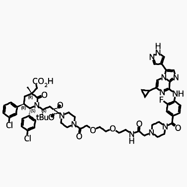 CC(C)(C)[C@@H](CS(=O)(=O)N1CCN(C(=O)COCCOCCNC(=O)CN2CCN(C(=O)c3ccc(Nc4nc(C5CC5)cn5c(-c6cn[nH]c6)cnc45)c(F)c3)CC2)CC1)N1C(=O)[C@@](C)(CC(=O)O)C[C@H](c2cccc(Cl)c2)[C@H]1c1ccc(Cl)cc1